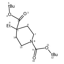 CCC1(C(=O)OC(C)(C)C)CCN(C(=O)OC(C)(C)C)CC1